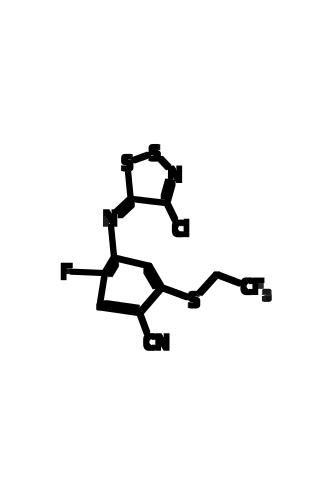 N#Cc1cc(F)c(N=c2ssnc2Cl)cc1SCC(F)(F)F